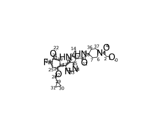 COCC(=O)N1CCC(NC(=O)c2c(C)[nH]c3c(-c4cc(OC)c(F)cc4OCC4CC4)ncnc23)CC1